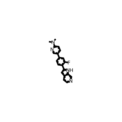 CN(C)c1ccc(-c2ccc(-c3cc4ccncc4[nH]3)c(F)c2)cn1